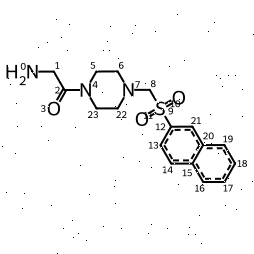 NCC(=O)N1CCN(CS(=O)(=O)c2ccc3ccccc3c2)CC1